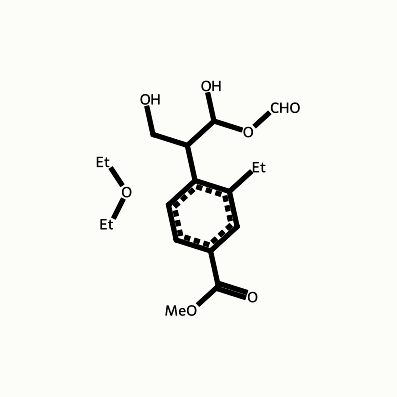 CCOCC.CCc1cc(C(=O)OC)ccc1C(CO)C(O)OC=O